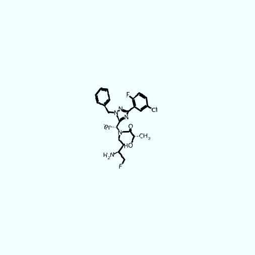 CC(C)[C@H](c1nc(-c2cc(Cl)ccc2F)nn1Cc1ccccc1)N(CC[C@H](N)CF)C(=O)[C@H](C)O